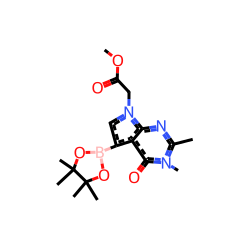 COC(=O)Cn1cc(B2OC(C)(C)C(C)(C)O2)c2c(=O)n(C)c(C)nc21